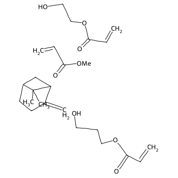 C=C1CCC2CC1C2(C)C.C=CC(=O)OC.C=CC(=O)OCCCO.C=CC(=O)OCCO